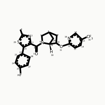 Cc1nc(C(=O)N2CC3CC(Oc4ccc(C(F)(F)F)cn4)[C@H]2C3)c(-c2ccc(F)cc2)s1